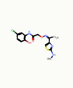 O=CNc1nc(C(=NOCC(=O)Nc2cc(Cl)ccc2O)C(=O)O)cs1